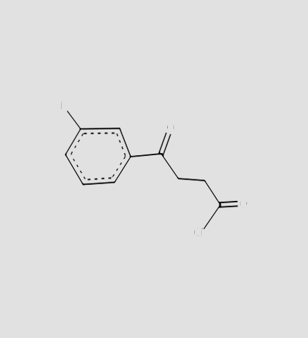 O=C(Cl)CCC(=O)c1cccc(F)c1